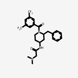 CN(C)CC(=O)NC1CCN(C(=O)c2cc(C(F)(F)F)cc(C(F)(F)F)c2)C(Cc2ccccc2)C1